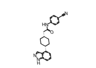 N#Cc1ccc(NC(=O)C[C@H]2CC[C@@H](c3cccc4[nH]ncc43)CC2)cc1